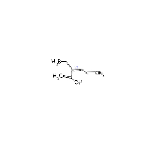 BC/C(=C/C=C)C(=C)O